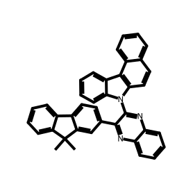 CC1(C)c2ccccc2-c2ccc(-c3nc4ccccc4nc3-n3c4ccccc4c4c5ccccc5ccc43)cc21